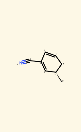 C[C@@H]1C=C(C#N)C=CC1